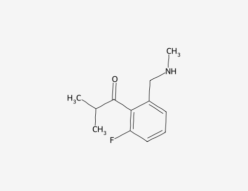 CNCc1cccc(F)c1C(=O)C(C)C